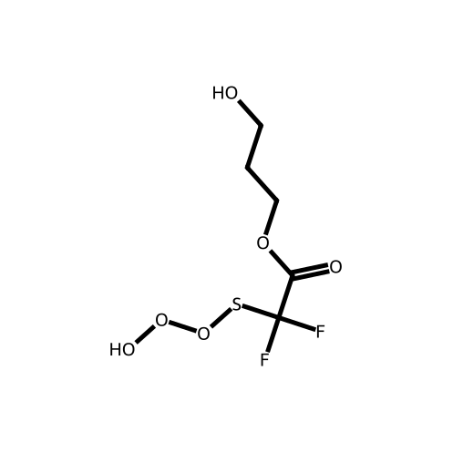 O=C(OCCCO)C(F)(F)SOOO